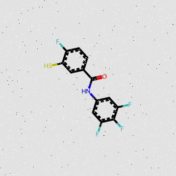 O=C(Nc1cc(F)c(F)c(F)c1)c1ccc(F)c(S)c1